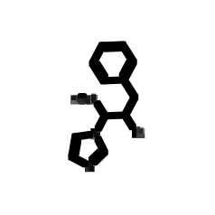 CCCCCCCCC(C(CC)Cc1ccccc1)n1ccnc1